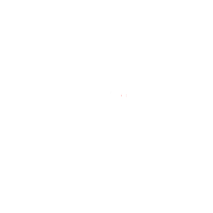 C=CCC1CCC=CC1=O